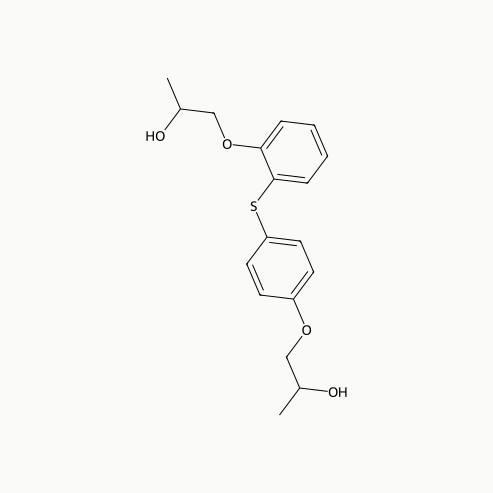 CC(O)COc1ccc(Sc2ccccc2OCC(C)O)cc1